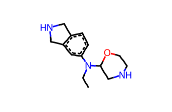 CCN(c1ccc2c(c1)CNC2)C1CNCCO1